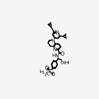 CS(=O)(=O)c1ccc(C(CO)NC(=O)c2ccc3c(n2)CCCN3c2cc(C3CC3)nc(C3CC3)c2)cc1